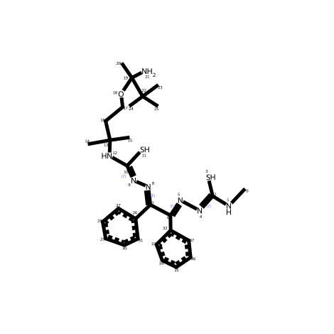 CN/C(S)=N/N=C(/C(=N/N=C(\S)NC(C)(C)CCOC(C)(N)C(C)(C)C)c1ccccc1)c1ccccc1